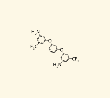 Nc1cc(Oc2cccc(Oc3cc(N)cc(C(F)(F)F)c3)c2)cc(C(F)(F)F)c1